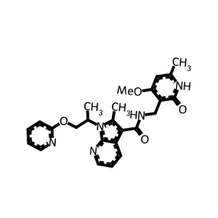 COc1cc(C)[nH]c(=O)c1CNC(=O)c1c(C)n(C(C)COc2ccccn2)c2ncccc12